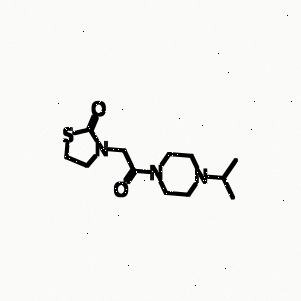 CC(C)N1CCN(C(=O)CN2CCSC2=O)CC1